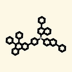 c1ccc(-c2ccc3cc(N(c4ccc(-c5ccc6c(c5)c(-c5ccccc5)c(-c5ccccc5)c5ccccc56)cc4)c4ccc(-c5ccccc5)c5ccccc45)ccc3c2)cc1